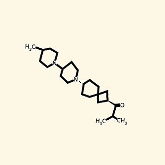 CC1CCN(C2CCN([C@H]3CCC4(CC3)C[C@H](C(=O)C(C)C)C4)CC2)CC1